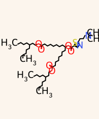 CCCCCC(CCCCC)CCOC(=O)CCCCCCCC(CCCCCCCC(=O)OCCC(CCCCC)CCCCC)OC(=O)c1cnc(CCCN(C)C)s1